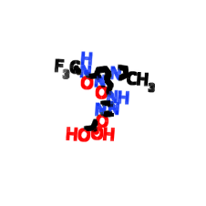 CC1CCN(c2ccc(C(=O)NCC(F)(F)F)nc2CC(=O)Nc2cnc(OCC(O)CO)cn2)C1